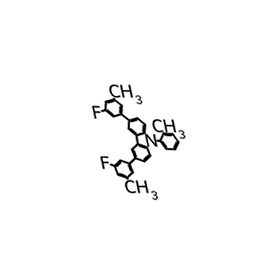 Cc1cc(F)cc(-c2ccc3c(c2)c2cc(-c4cc(C)cc(F)c4)ccc2n3-c2ccccc2C)c1